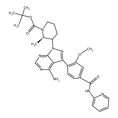 COc1cc(C(=O)Nc2ccccn2)ccc1-c1nn(C2CCCN(C(=O)OC(C)(C)C)[C@@H]2C)c2ncnc(N)c12